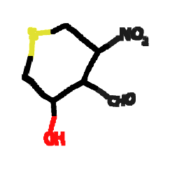 O=CC1C(O)CSCC1[N+](=O)[O-]